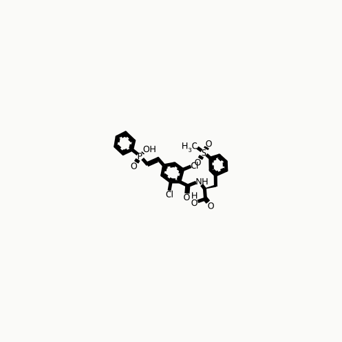 CS(=O)(=O)c1cccc(C[C@H](NC(=O)c2c(Cl)cc(/C=C/P(=O)(O)c3ccccc3)cc2Cl)C(=O)O)c1